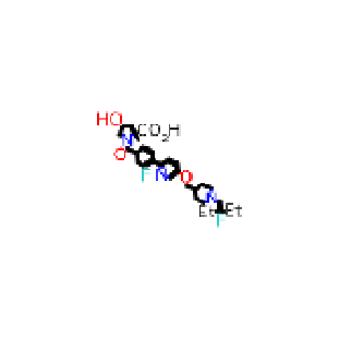 CCC(F)(CC)CN1CCC(COc2ccc(-c3ccc(C(=O)N4CC(O)CC4(C)C(=O)O)cc3F)nc2)CC1